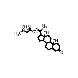 C/C(=N/OC(=O)CN(C)C)C1CCC2C3CCC4=CC(=O)CCC4(C)C3CCC12C